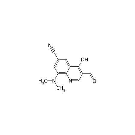 CN(C)c1cc(C#N)cc2c(O)c(C=O)cnc12